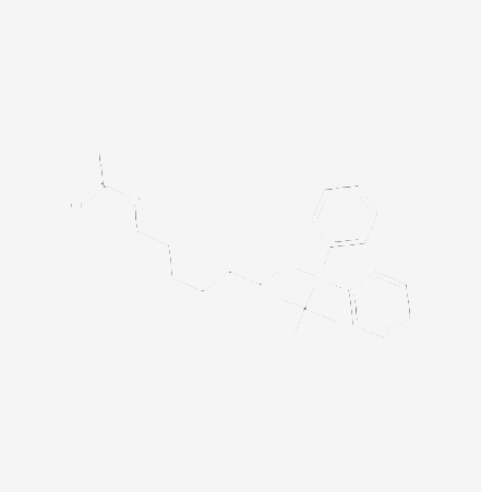 CC(=O)OCC[C@@H](C)CCCO[Si](c1ccccc1)(c1ccccc1)C(C)(C)C